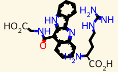 N=C(N)NCCC[C@H](N)C(=O)O.O=C(O)CNC(=O)c1c2ccccc2nc2c1[nH]c1ccccc12